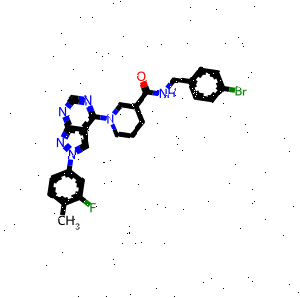 Cc1ccc(-n2cc3c(N4CCCC(C(=O)NCc5ccc(Br)cc5)C4)ncnc3n2)cc1F